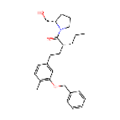 CCC[C@H](CCc1ccc(C)c(OCc2ccccc2)c1)C(=O)N1CCC[C@H]1CO